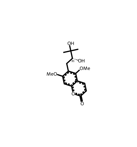 COc1cc2oc(=O)ccc2c(OC)c1C[C@@H](O)C(C)(C)O